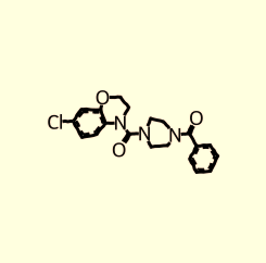 O=C(c1ccccc1)N1CCN(C(=O)N2CCOc3cc(Cl)ccc32)CC1